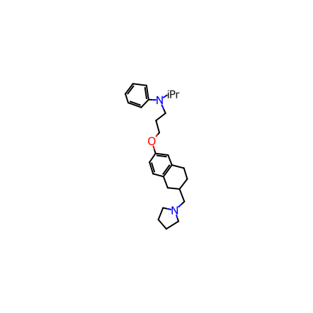 CC(C)N(CCCOc1ccc2c(c1)CCC(CN1CCCC1)C2)c1ccccc1